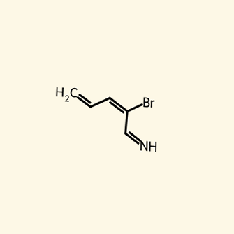 C=C/C=C(/Br)C=N